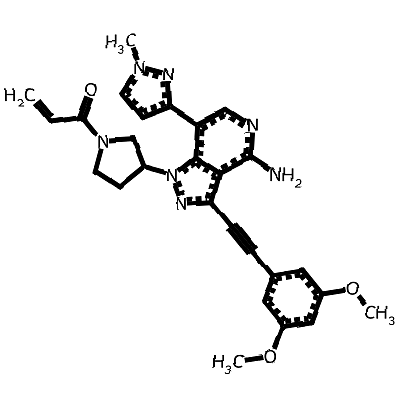 C=CC(=O)N1CCC(n2nc(C#Cc3cc(OC)cc(OC)c3)c3c(N)ncc(-c4ccn(C)n4)c32)C1